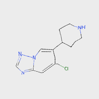 Clc1cc2ncnn2cc1C1CCNCC1